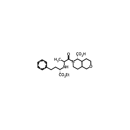 CCOC(=O)[C@H](CCc1ccccc1)NC(C)C(=O)N1CCC2COCCC2[C@H]1C(=O)O